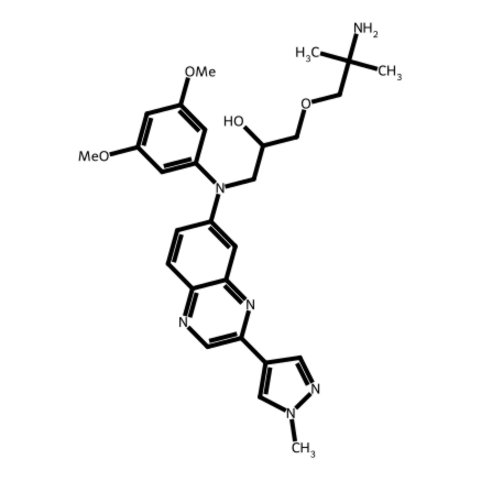 COc1cc(OC)cc(N(CC(O)COCC(C)(C)N)c2ccc3ncc(-c4cnn(C)c4)nc3c2)c1